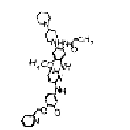 C=CC(=O)Nc1cc(Nc2nccc(Nc3ccc(OCc4ccccn4)c(Cl)c3)n2)c(OC)cc1N1CCC(N2CCCCC2)CC1